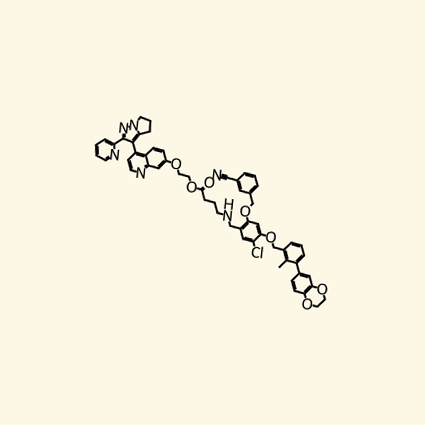 Cc1c(COc2cc(OCc3cccc(C#N)c3)c(CNCCCC(=O)OCCOc3ccc4c(-c5c(-c6ccccn6)nn6c5CCC6)ccnc4c3)cc2Cl)cccc1-c1ccc2c(c1)OCCO2